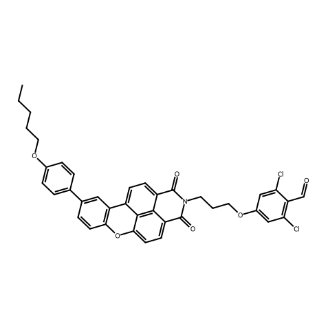 CCCCCOc1ccc(-c2ccc3oc4ccc5c(=O)n(CCCOc6cc(Cl)c(C=O)c(Cl)c6)c(=O)c6ccc(c3c2)c4c56)cc1